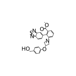 COC(=O)c1cccc(N2CC(Oc3ccc(CO)cc3)C2)c1-c1ccc2nsnc2c1